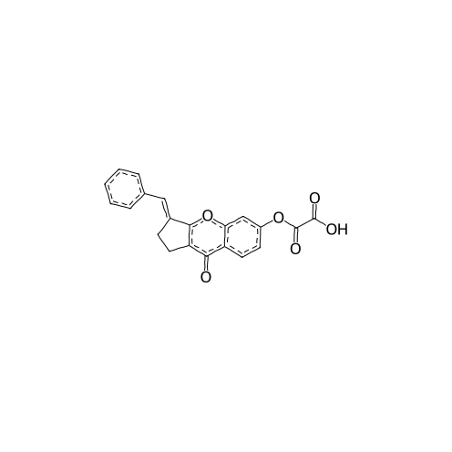 O=C(O)C(=O)Oc1ccc2c(=O)c3c(oc2c1)/C(=C/c1ccccc1)CC3